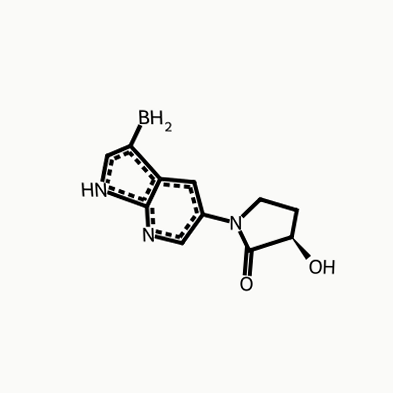 Bc1c[nH]c2ncc(N3CC[C@@H](O)C3=O)cc12